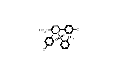 Cc1ccccc1S(=O)(=O)N1C(c2ccc(Cl)cc2)CC=C(C(=O)O)[C@@H]1c1ccc(Cl)cc1